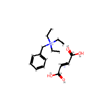 CC[N+](CC)(CC)Cc1ccccc1.O=C(O)/C=C/C(=O)O